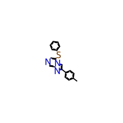 Cc1ccc(-c2cn3c(Sc4ccccc4)cncc3n2)cc1